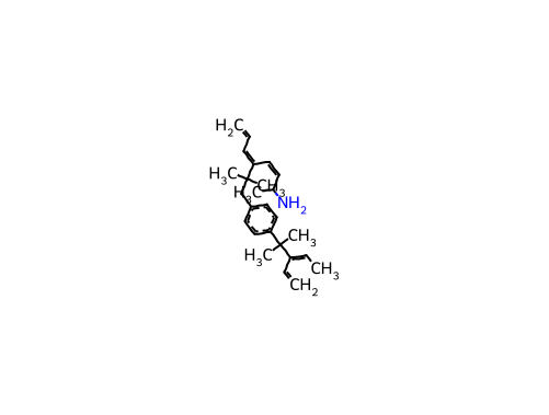 C=C/C=C(\C=C/C(C)N)C(C)(C)Cc1ccc(C(C)(C)/C(C=C)=C/C)cc1